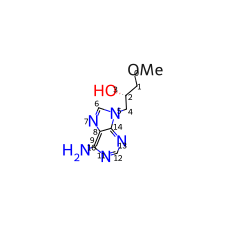 COC[C@@H](O)Cn1cnc2c(N)ncnc21